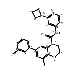 Cc1cc(-c2cccc(Cl)c2)nc2c1OCCN2C(=O)Nc1ccnc(N2CCC2)c1